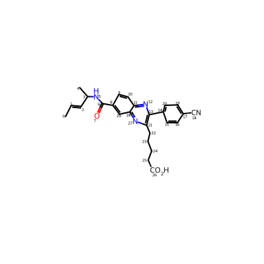 C/C=C/C(C)NC(=O)c1ccc2nc(-c3ccc(C#N)cc3)c(CCCCC(=O)O)nc2c1